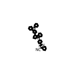 N#Cc1nc(-c2ccc(-n3c4ccccc4c4c(-c5ccc6c(c5)c5ccccc5n6-c5ccccc5)cccc43)cc2)nc2ccccc12